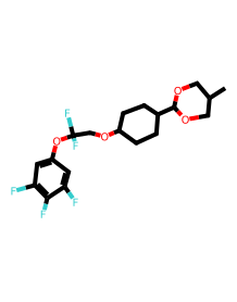 CC1COC(C2CCC(OCC(F)(F)Oc3cc(F)c(F)c(F)c3)CC2)OC1